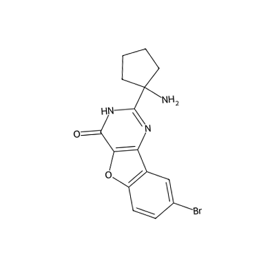 NC1(c2nc3c(oc4ccc(Br)cc43)c(=O)[nH]2)CCCC1